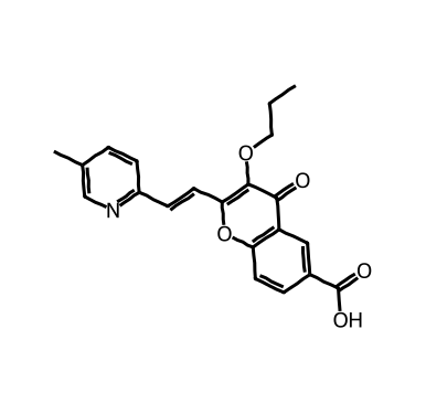 CCCOc1c(C=Cc2ccc(C)cn2)oc2ccc(C(=O)O)cc2c1=O